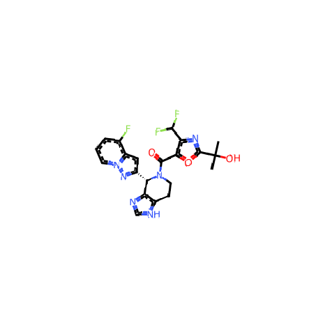 CC(C)(O)c1nc(C(F)F)c(C(=O)N2CCc3[nH]cnc3[C@@H]2c2cc3c(F)cccn3n2)o1